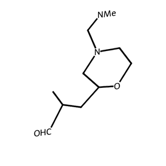 CNCN1CCOC(CC(C)C=O)C1